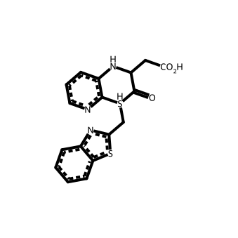 O=C(O)CC1Nc2cccnc2[SH](Cc2nc3ccccc3s2)C1=O